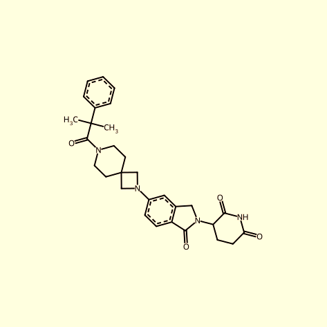 CC(C)(C(=O)N1CCC2(CC1)CN(c1ccc3c(c1)CN(C1CCC(=O)NC1=O)C3=O)C2)c1ccccc1